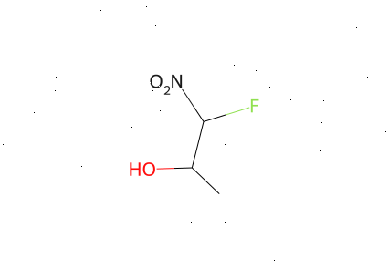 CC(O)C(F)[N+](=O)[O-]